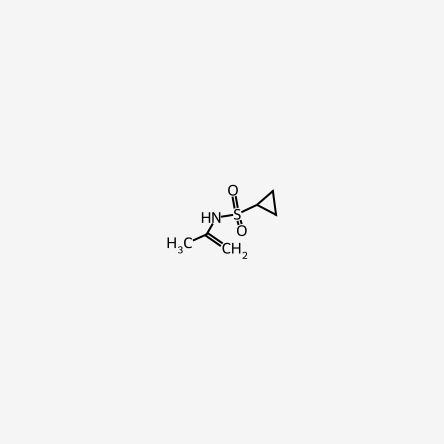 C=C(C)NS(=O)(=O)C1CC1